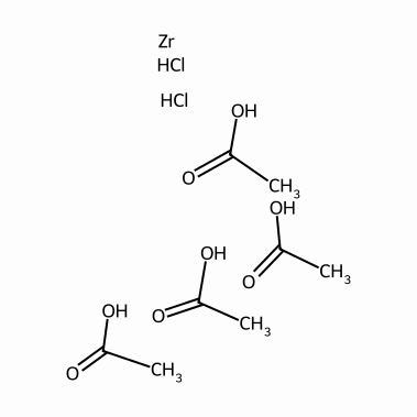 CC(=O)O.CC(=O)O.CC(=O)O.CC(=O)O.Cl.Cl.[Zr]